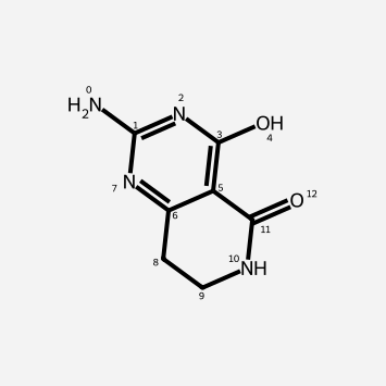 Nc1nc(O)c2c(n1)CCNC2=O